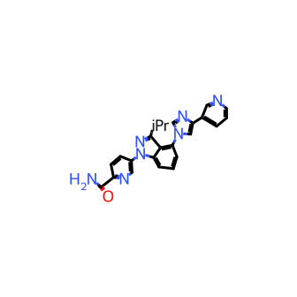 CC(C)c1nn(-c2ccc(C(N)=O)nc2)c2cccc(-n3cnc(-c4cccnc4)c3)c12